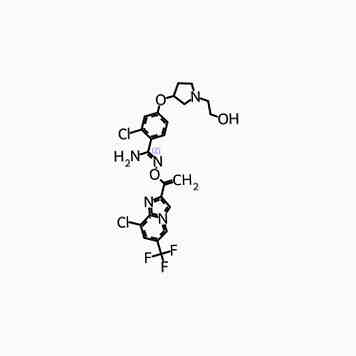 C=C(O/N=C(\N)c1ccc(OC2CCN(CCO)C2)cc1Cl)c1cn2cc(C(F)(F)F)cc(Cl)c2n1